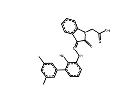 Cc1cc(C)cc(-c2cccc(N/N=C3\C(=O)N(CC(=O)O)c4ccccc43)c2O)c1